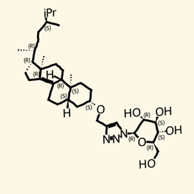 CC(C)[C@@H](C)CC[C@@H](C)[C@H]1CCC2=C3CC[C@H]4C[C@@H](OCc5cn([C@@H]6O[C@H](CO)[C@@H](O)[C@H](O)[C@H]6O)nn5)CC[C@]4(C)[C@H]3CC[C@@]21C